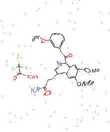 COc1cc2c(CCC(N)=O)cnc(C(=O)c3cccc(OC(C)C)c3)c2cc1OC.O=C(O)C(F)(F)F